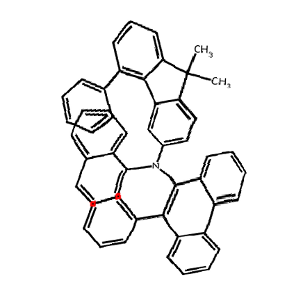 CC1(C)c2ccc(N(c3cccc4ccccc34)c3c(-c4ccccc4)c4ccccc4c4ccccc34)cc2-c2c(-c3ccccc3)cccc21